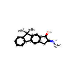 CCCCC1(CCCC)c2ccccc2-c2cc3c(cc21)C(=O)/C(=N/OC(C)=O)C3